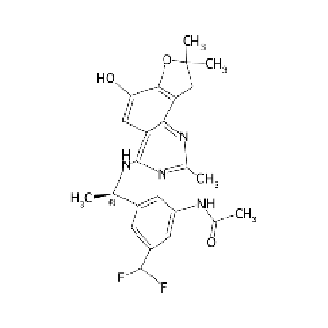 CC(=O)Nc1cc(C(F)F)cc([C@@H](C)Nc2nc(C)nc3c4c(c(O)cc23)OC(C)(C)C4)c1